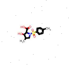 Cc1ccc(S(=O)(=O)N2CC(C)C(O)C2C(=O)O)cc1